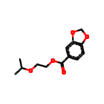 CC(C)OCCOC(=O)c1ccc2c(c1)OCO2